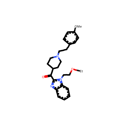 CCOCCn1c(C(=O)C2CCN(CCc3ccc(OC)cc3)CC2)nc2ccccc21